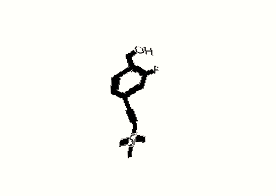 C[Si](C)(C)C#Cc1ccc(CO)c(F)c1